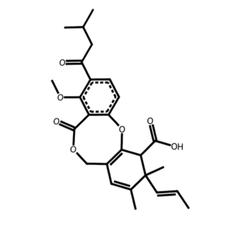 CC=CC1(C)C(C)=CC2=C(Oc3ccc(C(=O)CC(C)C)c(OC)c3C(=O)OC2)C1C(=O)O